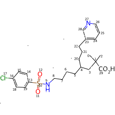 CC(C)(CC(CCCCNS(=O)(=O)c1ccc(Cl)cc1)CCCc1cccnc1)C(=O)O